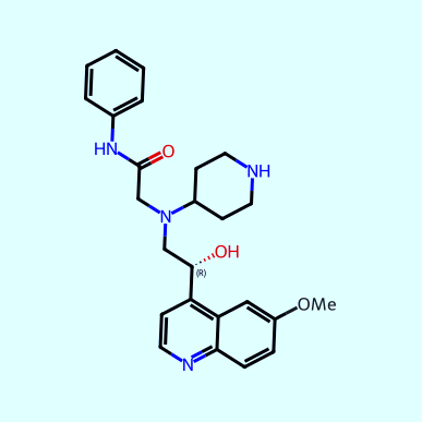 COc1ccc2nccc([C@@H](O)CN(CC(=O)Nc3ccccc3)C3CCNCC3)c2c1